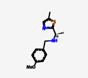 COc1ccc(CN[C@@H](C)c2ncc(C)s2)cc1